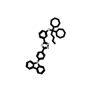 CCCCC(Oc1cccc(-c2nnc(-c3ccc(-n4c5ccccc5c5ccccc54)cc3)o2)c1)(C1CCCCCC1)C1CCCCCC1